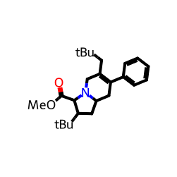 COC(=O)C1C(C(C)(C)C)CC2CC(c3ccccc3)=C(CC(C)(C)C)CN21